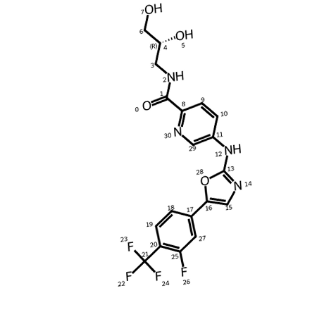 O=C(NC[C@@H](O)CO)c1ccc(Nc2ncc(-c3ccc(C(F)(F)F)c(F)c3)o2)cn1